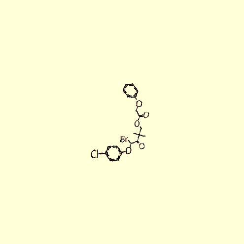 CC(C)(COC(=O)COc1ccccc1)C(=O)C(Br)Oc1ccc(Cl)cc1